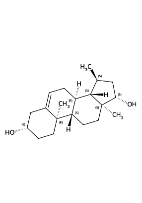 C[C@H]1C[C@H](O)[C@@]2(C)CC[C@H]3[C@@H](CC=C4C[C@@H](O)CC[C@@]43C)[C@H]12